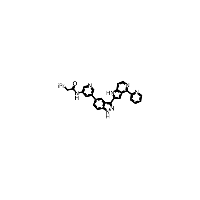 CC(C)CC(=O)Nc1cncc(-c2ccc3[nH]nc(-c4cc5c(-c6ccccn6)nccc5[nH]4)c3c2)c1